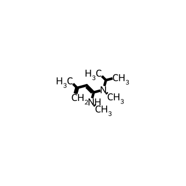 C=C(C)/C=C(\NC)N(C)C(C)C